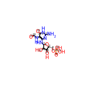 Nc1nc(NC2O[C@H](COP(=O)(O)O)[C@@H](O)[C@H]2O)c(NC=O)c(=O)[nH]1